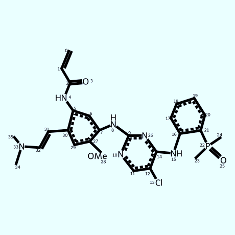 C=CC(=O)Nc1cc(Nc2ncc(Cl)c(Nc3ccccc3P(C)(C)=O)n2)c(OC)cc1C=CN(C)C